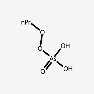 CCCOO[As](=O)(O)O